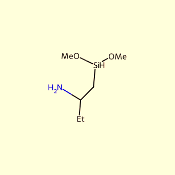 CCC(N)C[SiH](OC)OC